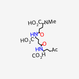 CN[C@@H](CCC(=O)N[C@H](CCC(=O)N[C@@H](CCC(C)=O)C(=O)O)C(=O)O)C(=O)O